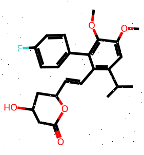 COc1cc(C(C)C)c(C=CC2CC(O)CC(=O)O2)c(-c2ccc(F)cc2)c1OC